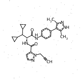 C#CCn1nccc1C(=O)N[C@H](C(=O)Nc1ccc(-c2c(C)n[nH]c2C)cc1)C(C1CC1)C1CC1